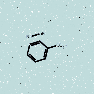 CC[CH2][Na].O=C(O)c1ccccc1